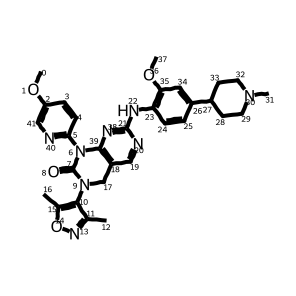 COc1ccc(N2C(=O)N(c3c(C)noc3C)Cc3cnc(Nc4ccc(C5CCN(C)CC5)cc4OC)nc32)nc1